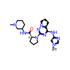 CC(C)n1cnc(Nc2nc(N3CCC[C@H]3C(=O)NC3CCCN(C)C3)nn3cccc23)c1